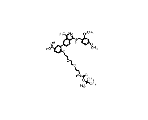 COc1ccc(CNc2nnc(C)c3cc(-c4cc(B(O)O)ccc4OCCOCCOCCNC(=O)OC(C)(C)C)ccc23)c(OC)c1